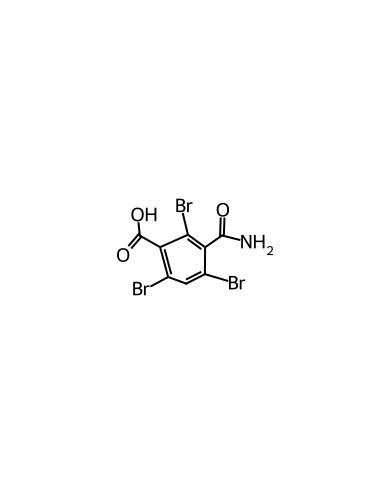 NC(=O)c1c(Br)cc(Br)c(C(=O)O)c1Br